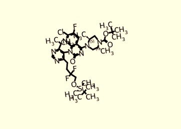 CC(C)c1ncnc(CCC(F)(F)CO[Si](C)(C)C(C)(C)C)c1-n1c(=O)nc(N2C[C@@H](C)N(C(=O)OC(C)(C)C)C[C@@H]2C)c2cc(F)c(Cl)nc21